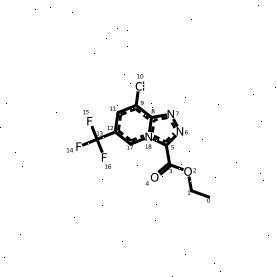 CCOC(=O)c1nnc2c(Cl)cc(C(F)(F)F)cn12